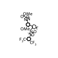 COC(=O)c1nc(-c2ccc(OC)c(C3=C(CN4C(=O)O[C@H](c5cc(C(F)(F)F)cc(C(F)(F)F)c5)[C@@H]4C)CC(C)(C)CC3)c2)no1